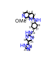 COc1nccc2ccc(N[C@H]3CC[C@H](CNc4ncc(-c5nnc[nH]5)cn4)CC3)nc12